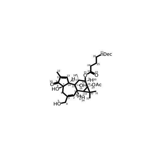 [3H][C@@]12C=C(CO)C[C@]3(O)C(=O)C(C)=C[C@H]3[C@@]1(O)[C@H](C)[C@@]([3H])(OC(=O)CCCCCCCCCCCCC)[C@@]1(OC(C)=O)C(C)(C)[C@@]21[3H]